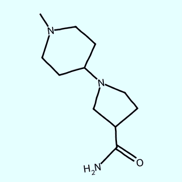 CN1CCC(N2CCC(C(N)=O)C2)CC1